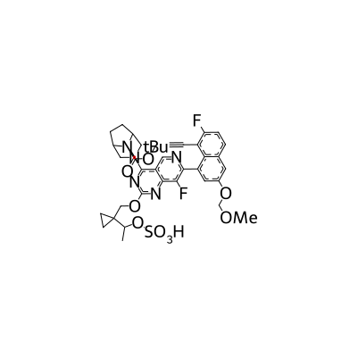 C#Cc1c(F)ccc2cc(OCOC)cc(-c3ncc4c(N5CC6CCC(C5)N6C(=O)OC(C)(C)C)nc(OCC5(C(C)OS(=O)(=O)O)CC5)nc4c3F)c12